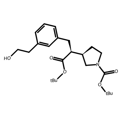 CC(C)(C)OC(=O)[C@@H](Cc1cccc(CCO)c1)[C@H]1CCN(C(=O)OC(C)(C)C)C1